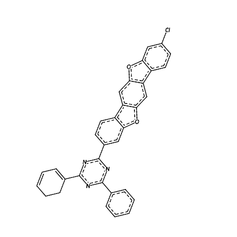 Clc1ccc2c(c1)oc1cc3c(cc12)oc1cc(-c2nc(C4=CC=CCC4)nc(-c4ccccc4)n2)ccc13